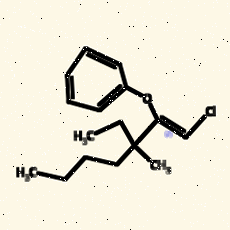 CCCCC(C)(CC)/C(=C/Cl)Oc1ccccc1